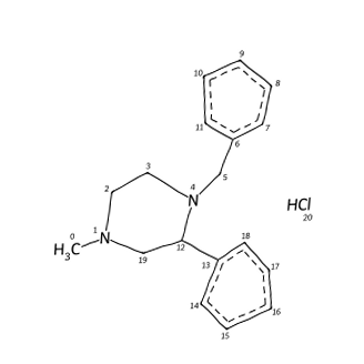 CN1CCN(Cc2ccccc2)C(c2ccccc2)C1.Cl